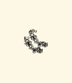 CCCCOc1ccc(S(=O)(=O)c2ccc(CNC(=O)c3ccc4nccn4c3)cc2)c(C)c1.Cc1cc(S(=O)(=O)c2ccc(CNC(=O)c3cnc4nccn4c3)cc2)c(C)cc1F